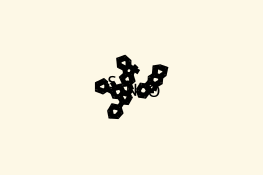 CC1(C)c2ccccc2-c2ccc(N(c3ccc(-c4ccccc4)c4cc5c(cc34)SC3C=CC=CC53)C3C=Cc4oc5cc6ccccc6cc5c4C3)cc21